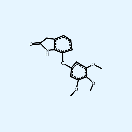 COc1cc(Oc2cccc3c2NC(=O)C3)cc(OC)c1OC